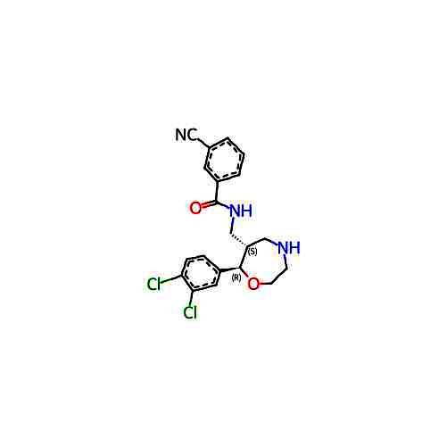 N#Cc1cccc(C(=O)NC[C@@H]2CNCCO[C@H]2c2ccc(Cl)c(Cl)c2)c1